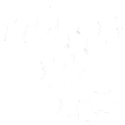 C1=CC(c2nc(-c3cccc(-c4ccccc4)c3)nc(-c3ccc(-c4cccc5oc6ccccc6c45)c4ccccc34)n2)=CCC1